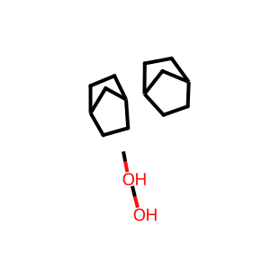 C1CC2CCC1C2.C1CC2CCC1C2.CO.CO